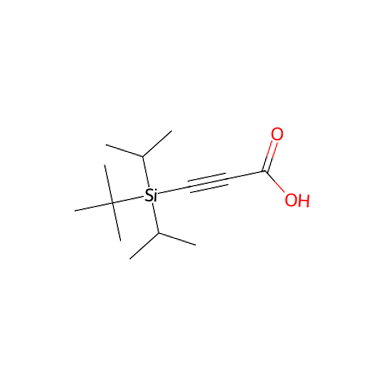 CC(C)[Si](C#CC(=O)O)(C(C)C)C(C)(C)C